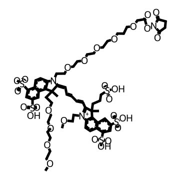 COCCOCCOCCOCCC1(C)\C(=C/C=C/C=C/C2=[N+](CCOC)c3ccc4c(S(=O)(=O)O)cc(S(=O)(=O)O)cc4c3C2(C)CCCS(=O)(=O)O)N(CCOCCOCCOCCOCCCOCC(=O)ON2C(=O)CCC2=O)c2ccc3c(S(=O)(=O)[O-])cc(S(=O)(=O)O)cc3c21